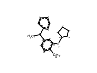 [CH2]C(c1ccccc1)c1ccc(OC)c(OC2CCCC2)c1